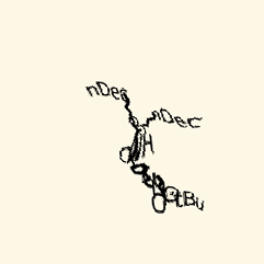 CCCCCCCCCCCCCCOCC(CNC(=O)c1ccc(N2CCN(C(=O)OC(C)(C)C)CC2)cc1)OCCCCCCCCCCCCCC